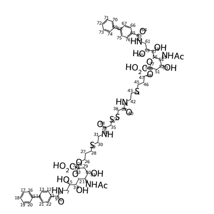 CC(=O)N[C@H]1[C@H]([C@H](O)[C@H](O)CNC(=O)c2ccc(-c3ccccc3)cc2)O[C@@](OCCCSCCNC(=O)CSSCC(=O)NCCSCCCO[C@]2(C(=O)O)C[C@H](O)[C@@H](NC(C)=O)C([C@H](O)[C@H](O)CNC(=O)c3ccc(-c4ccccc4)cc3)O2)(C(=O)O)C[C@@H]1O